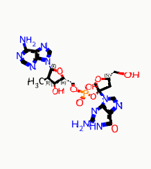 C[C@@H]1[C@H](O)[C@@H](COP(=O)(O)O[C@@]2(n3cnc4c(=O)[nH]c(N)nc43)CO[C@H](CO)C2)O[C@H]1n1cnc2c(N)ncnc21